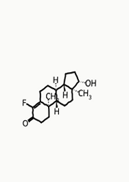 C[C@]12CC[C@H]3[C@@H](CCC4=C(F)C(=O)CC[C@@]43C)[C@@H]1CC[C@@H]2O